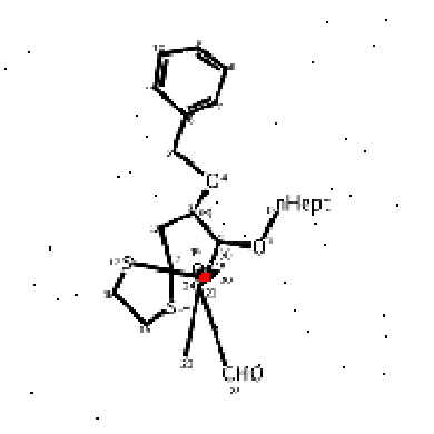 CCCCCCCO[C@@H]1[C@H](OCc2ccccc2)CC2(SCCS2)[C@]12OCC(C)(C=O)O2